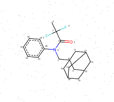 CC(F)(F)C(=O)N(CC12CC3CC(CC(C3)C1)C2)c1ccccc1